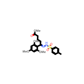 COC(=O)CCC/C(=N\NS(=O)(=O)c1ccc(C)cc1)c1c(OC)cc(OC)cc1OC